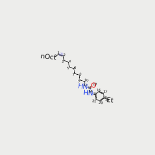 CCCCCCCC/C=C\CCCCCCCCNC(=O)Nc1ccc(CC)cc1